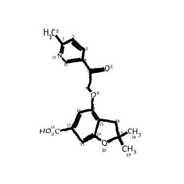 Cc1ccc(C(=O)COc2cc(C(=O)O)cc3c2CC(C)(C)O3)cn1